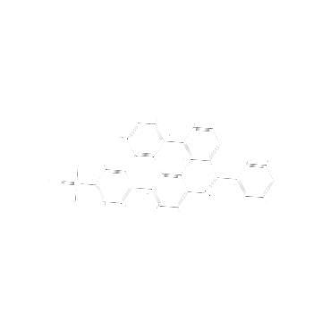 CP(C)(=O)c1ccc(-c2ccc3nc(-c4ccccc4)c4cccc(-c5ccccc5)c4c3c2)cc1